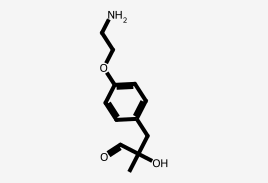 CC(O)(C=O)Cc1ccc(OCCN)cc1